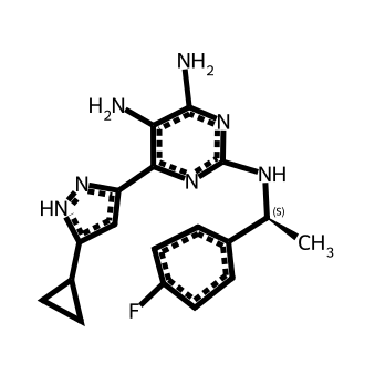 C[C@H](Nc1nc(N)c(N)c(-c2cc(C3CC3)[nH]n2)n1)c1ccc(F)cc1